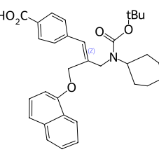 CC(C)(C)OC(=O)N(C/C(=C/c1ccc(C(=O)O)cc1)COc1cccc2ccccc12)C1CCCCC1